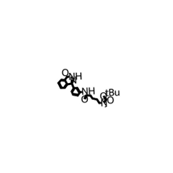 CN(CCCCC(=O)Nc1cccc(-c2n[nH]c(=O)c3ccccc23)c1)C(=O)OC(C)(C)C